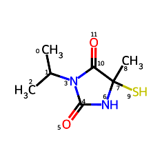 CC(C)N1C(=O)NC(C)(S)C1=O